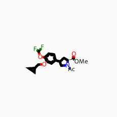 COC(=O)[C@H]1CC(c2ccc(OC(F)F)c(OCC3CC3)c2)CN1C(C)=O